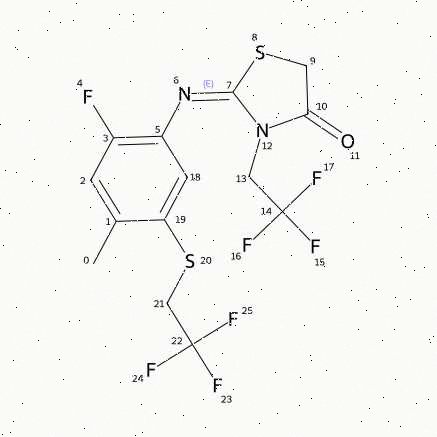 Cc1cc(F)c(/N=C2/SCC(=O)N2CC(F)(F)F)cc1SCC(F)(F)F